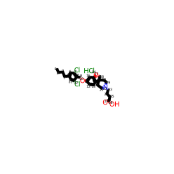 CCCCc1cc(Cl)c(COc2ccc3c(c2)OCC32CCN(CCCC(=O)O)CC2)c(Cl)c1.Cl